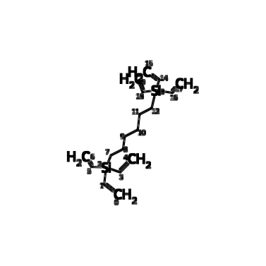 C=C[Si](C=C)(C=C)CCCCCC[Si](C=C)(C=C)C=C